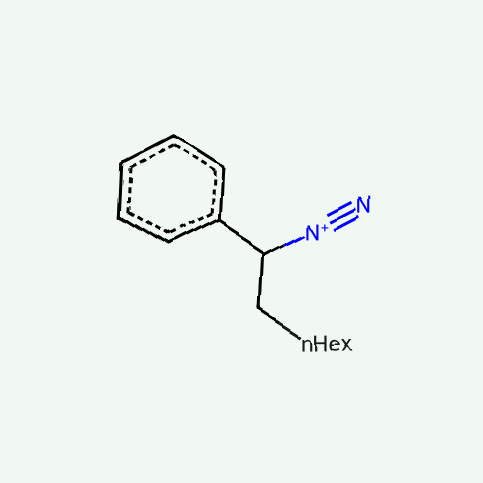 CCCCCCCC([N+]#N)c1ccccc1